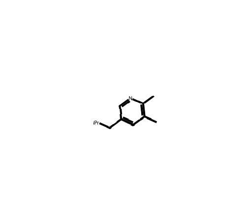 Cc1cc(CC(C)C)cnc1C